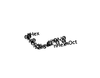 CCCCCCCCC(CCCCCC)COC(=O)CCCC(=O)OCCC1CCN(CCSCCN2CCC(CCOC(=O)CCCC(=O)OCCCCCC)CC2)CC1